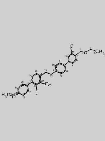 CCOCc1ccc(-c2ccc(CCc3ccc(-c4ccc(OC)cc4)c(F)c3F)cc2)cc1F